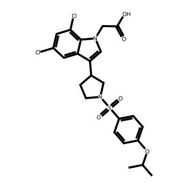 CC(C)Oc1ccc(S(=O)(=O)N2CCC(c3cn(CC(=O)O)c4c(Cl)cc(Cl)cc34)C2)cc1